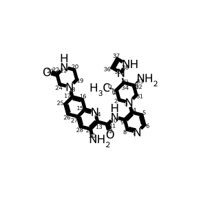 C[C@H]1CN(c2ccncc2NC(=O)c2nc3cc(N4CCNC(=O)C4)ccc3cc2N)C[C@@H](N)[C@H]1n1cc[nH]1